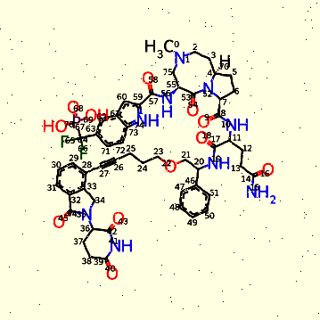 CN1CC[C@H]2CC[C@@H](C(=O)NC(CCC(N)=O)C(=O)NC(COCCCC#Cc3cccc4c3CN(C3CCC(=O)NC3=O)C4=O)c3ccccc3)N2C(=O)[C@@H](NC(=O)c2cc3cc(C(F)(F)P(=O)(O)O)ccc3[nH]2)C1